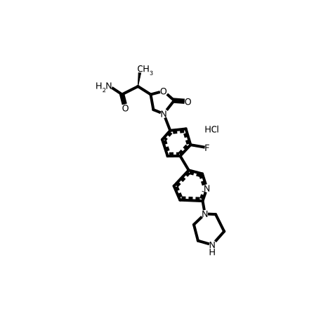 C[C@H](C(N)=O)C1CN(c2ccc(-c3ccc(N4CCNCC4)nc3)c(F)c2)C(=O)O1.Cl